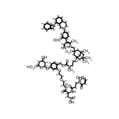 C/C(NCC1(C)CC2(C)CC(C)(C)CC(OCCN(C)C(=O)OCc3ccc(OC4CC(O)CC(C(=O)O)O4)cc3OCCOCCNC(=O)C(CS(=O)O)NC(=O)CCN(C)C(=O)/C=C\C=O)(C1)C2)=C(/C=N)c1ccc(N2CCc3cccc(-n4sc5ccccc54)c3C2)nc1C=O